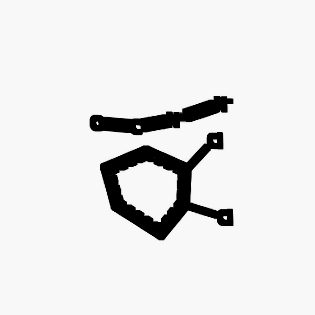 Clc1ccccc1Cl.[N-]=[N+]=C=O